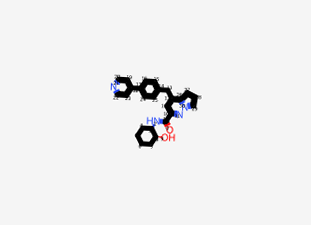 O=C(N[C@@H]1CCCC[C@H]1O)c1cc(Cc2ccc(-c3ccncc3)cc2)c2cccn2n1